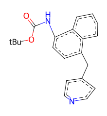 CC(C)(C)OC(=O)Nc1ccc(Cc2ccncc2)c2ccccc12